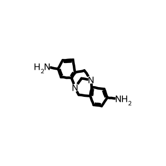 Nc1ccc2c(c1)N1Cc3ccc(N)cc3N(C2)C1